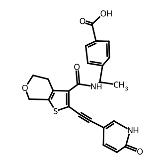 CC(NC(=O)c1c(C#Cc2ccc(=O)[nH]c2)sc2c1CCOC2)c1ccc(C(=O)O)cc1